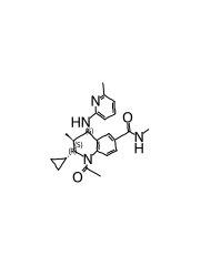 CNC(=O)c1ccc2c(c1)[C@@H](Nc1cccc(C)n1)[C@H](C)[C@@H](C1CC1)N2C(C)=O